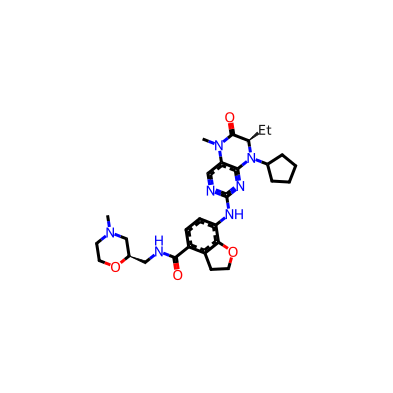 CC[C@@H]1C(=O)N(C)c2cnc(Nc3ccc(C(=O)NC[C@@H]4CN(C)CCO4)c4c3OCC4)nc2N1C1CCCC1